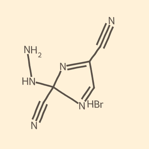 Br.N#CC1=NC(C#N)(NN)N=C1